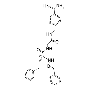 N=C(N)c1ccc(CNC(=O)CNC(=O)[C@H](CCc2ccccc2)NBCc2ccccc2)cc1